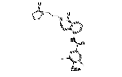 COc1c(C)cc(C(=O)Nc2cccc3c(=O)n(CCCN4CCCC4=O)ccc23)cc1C